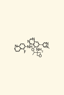 CC(Oc1cc(-c2cnn(C)c2)cc2ncnc(Nc3ccc4ncccc4c3F)c12)C1(N)COC1